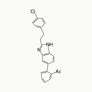 CC(=O)c1ccccc1-c1ccc2[nH]c(CCc3ccc(Cl)cc3)nc2c1